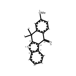 COc1ccc2c(c1)C(C)(C)c1sc3ccccc3c1C2=O